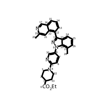 CCOC(=O)C1CCN(c2ccc(-n3nc(-c4cccc5cnc(C)cc45)c4cccc(C)c43)cn2)CC1